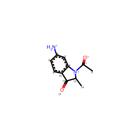 CC(=O)N1c2cc(N)ccc2C(=O)C1C